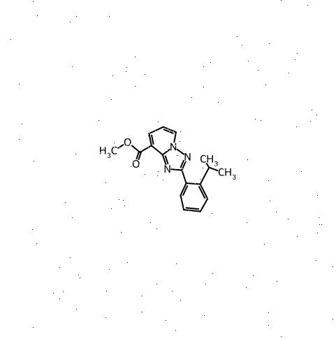 COC(=O)c1cccn2nc(-c3ccccc3C(C)C)nc12